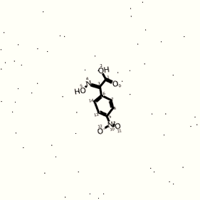 O=C(O)/C(=N/O)c1ccc([N+](=O)[O-])cc1